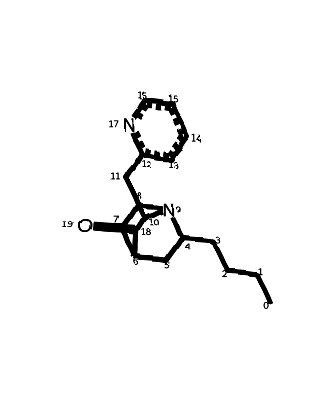 CCCCC1CC2CCN1C(Cc1ccccn1)C2=O